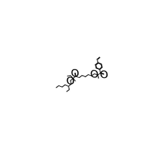 C=Cc1ccc(C(=O)C(C)OCCCCCC(=O)C(C)(CC)OCC(CC)CCCC)cc1